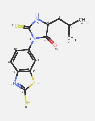 CC(C)CC1NC(=S)N(c2ccc3nc(S)sc3c2)C1=O